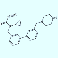 CCCCCCCC(=O)N(Cc1cccc(-c2cccc(CN3CCNCC3)c2)c1)C1CC1